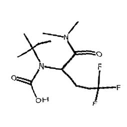 CN(C)C(=O)C(CC(F)(F)F)N(C(=O)O)C(C)(C)C